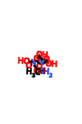 CN.O=C(O)CN(CCN(CC(=O)O)CC(=O)O)CC(=O)O